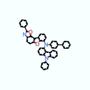 c1ccc(-c2ccc(N(c3cccc4c3oc3ccc5nc(-c6ccccc6)oc5c34)c3cccc4c3c3ccccc3n4-c3ccccc3)cc2)cc1